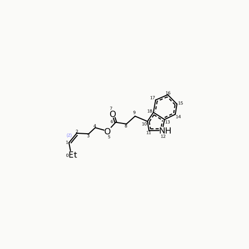 CC/C=C\CCOC(=O)CCc1c[nH]c2ccccc12